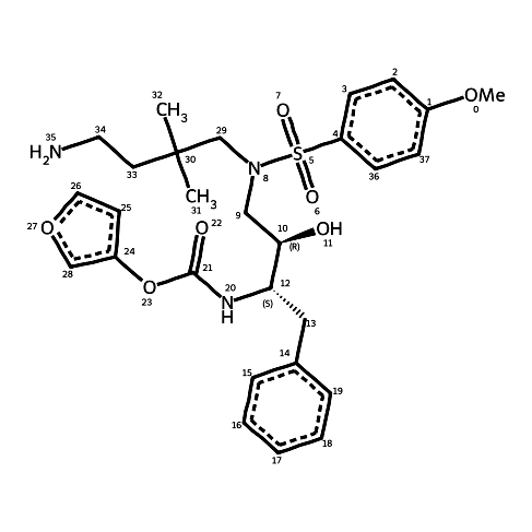 COc1ccc(S(=O)(=O)N(C[C@@H](O)[C@H](Cc2ccccc2)NC(=O)Oc2ccoc2)CC(C)(C)CCN)cc1